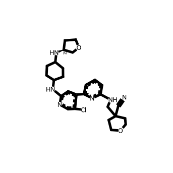 N#CC1(CNc2cccc(-c3cc(NC4CCC(N[C@H]5CCOC5)CC4)ncc3Cl)n2)CCOCC1